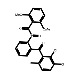 COc1cccc(OC)c1C(=O)[P](=O)c1ccccc1C(=O)c1c(Cl)ccc(Cl)c1Cl